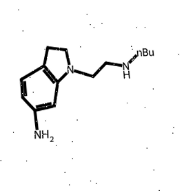 CCCCNCCN1CCc2ccc(N)cc21